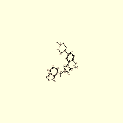 CN1CCN(c2cc3c(cn2)CNc2nc(Nc4cccc5c4OCO5)nn2-3)CC1